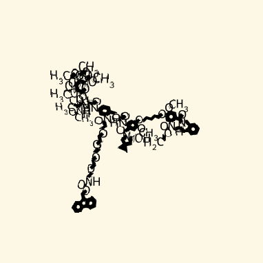 C=CCOC(=O)N1C[C@@H]2Cc3ccccc3CN2C(=O)c2cc(OC)c(OCCCCCOc3cc(NC(=O)OCc4ccc(NC(=O)[C@H](CO[C@@H]5O[C@H](C(=O)OC)[C@@H](OC(C)=O)[C@H](OC(C)=O)[C@H]5OC(C)=O)NC(=O)[C@@H](NC(C)=O)C(C)C)cc4NC(=O)CCOCCOCCOCCOCCNC(=O)OCC4c5ccccc5-c5ccccc54)c(C(=O)N4CC5(CC5)C[C@H]4CO)cc3OC)cc21